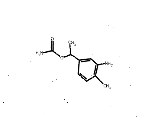 Cc1ccc(C(C)OC(N)=O)cc1N